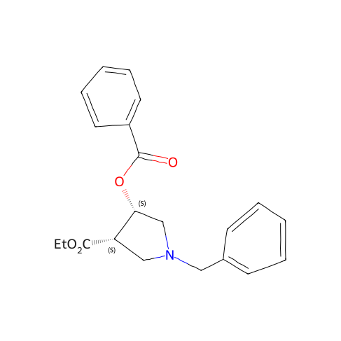 CCOC(=O)[C@H]1CN(Cc2ccccc2)C[C@H]1OC(=O)c1ccccc1